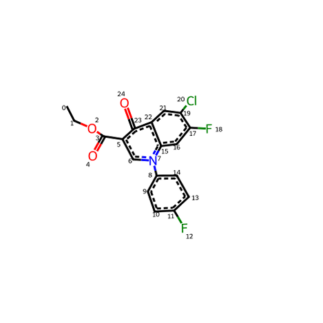 CCOC(=O)c1cn(-c2ccc(F)cc2)c2cc(F)c(Cl)cc2c1=O